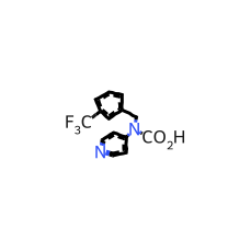 O=C(O)N(Cc1cccc(C(F)(F)F)c1)c1ccncc1